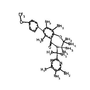 Bc1nc(C(B)(B)N2C(=O)c3c(B)c(-c4ccc(OC(F)(F)F)cc4)c(B)c(B)c3OC(B)(B)C2(B)B)nc(B)c1B